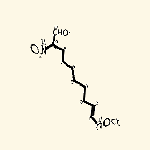 CCCCCCCC/C=C/CCCCCCC([C]=O)[N+](=O)[O-]